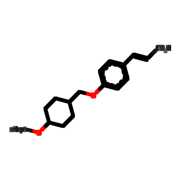 CCCCCCCOC1CCC(COc2ccc(C=CC(=O)O)cc2)CC1